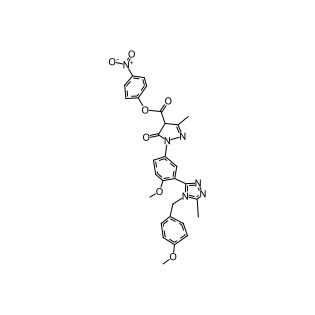 COc1ccc(Cn2c(C)nnc2-c2cc(N3N=C(C)C(C(=O)Oc4ccc([N+](=O)[O-])cc4)C3=O)ccc2OC)cc1